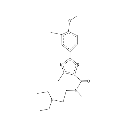 CCN(CC)CCN(C)C(=O)c1sc(-c2ccc(OC)c(C)c2)nc1C